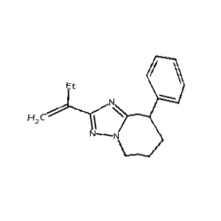 C=C(CC)c1nc2n(n1)CCCC2c1ccccc1